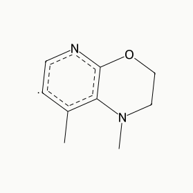 Cc1[c]cnc2c1N(C)CCO2